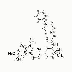 Cn1c2c(n(CC(C)(C)C)c1=O)=CCC(C1CCC(C)(C)C(NC(=O)CN3CCN(c4ccccc4)CC3)C1)N=2